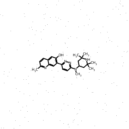 Cc1ccc2cc(O)c(-c3ccc(N(C)C4CC(C)(C)NC(C)(C)C4)nn3)cc2n1